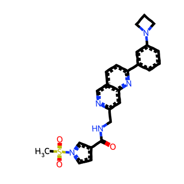 CS(=O)(=O)n1ccc(C(=O)NCc2cc3nc(-c4cccc(N5CCC5)c4)ccc3cn2)c1